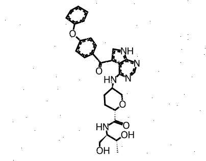 C[C@@H](O)[C@@H](CO)NC(=O)[C@@H]1CC[C@@H](Nc2ncnc3[nH]cc(C(=O)c4ccc(Oc5ccccc5)cc4)c23)CO1